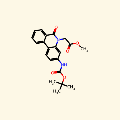 COC(=O)Cn1c(=O)c2ccccc2c2ccc(NC(=O)OC(C)(C)C)cc21